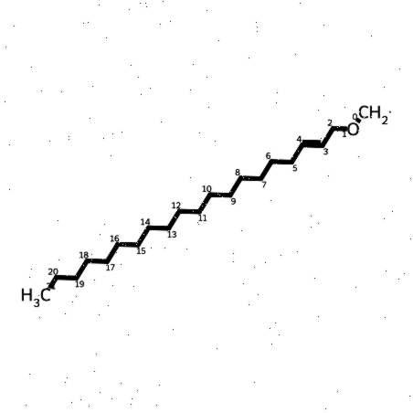 [CH2]OCC=CCCCCCCCCCCCCCCCCC